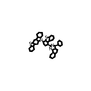 c1ccc(-c2nc(-c3ccc(-n4c5ccccc5c5cc6sc7ccccc7c6cc54)c4sc5ccccc5c34)nc3c2ccc2ccccc23)cc1